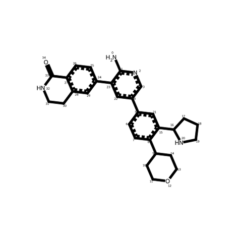 Nc1ncc(-c2ccc(C3CCOCC3)c(C3CCCN3)c2)cc1-c1ccc2c(c1)CCNC2=O